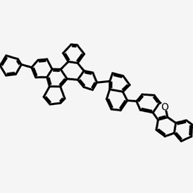 c1ccc(-c2ccc3c(c2)c2ccccc2c2c4ccc(-c5cccc6c(-c7ccc8oc9c%10ccccc%10ccc9c8c7)cccc56)cc4c4ccccc4c32)cc1